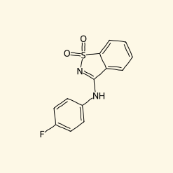 O=S1(=O)N=C(Nc2ccc(F)cc2)c2ccccc21